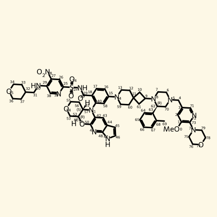 COc1cc(CN2CCN(C3CC4(CCN(c5ccc(C(=O)NS(=O)(=O)c6cc([N+](=O)[O-])c(NCC7CCOCC7)cn6)c(N6c7cc8cc[nH]c8nc7O[C@H]7COCC[C@@H]76)c5)CC4)C3)[C@H](c3ccccc3C)C2)cnc1N1CCOCC1